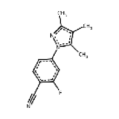 Cc1nn(-c2ccc(C#N)c(F)c2)c(C)c1C